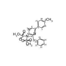 Cc1ccc(-c2cnc(N(S(C)(=O)=O)S(C)(=O)=O)c(Cc3ccccc3)n2)cc1